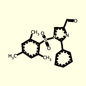 Cc1cc(C)c(S(=O)(=O)n2cc(C=O)nc2-c2ccccc2)c(C)c1